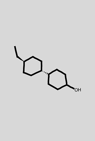 CC[C@H]1CC[C@H](C2CCC(O)CC2)CC1